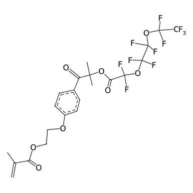 C=C(C)C(=O)OCCOc1ccc(C(=O)C(C)(C)OC(=O)C(F)(F)OC(F)(F)C(F)(F)OC(F)(F)C(F)(F)F)cc1